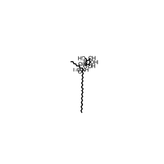 CCCCCCCCCCCCCCCCCCCCCC(=O)N[C@@H](COC1OC(CO)C(O)C(O)C1O)[C@H](O)[C@H](O)CCCCC